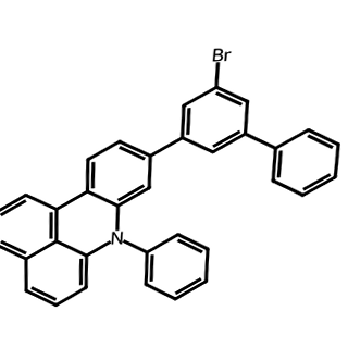 Brc1cc(-c2ccccc2)cc(-c2ccc3c(c2)N(c2ccccc2)c2cccc4cccc-3c24)c1